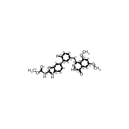 COC(=O)Nc1nc2cc(-c3cc(Cc4n[nH]c(=O)c5cc(OC)cc(OC)c45)ccc3F)ccc2[nH]1